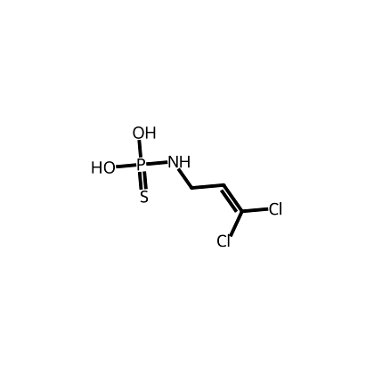 OP(O)(=S)NCC=C(Cl)Cl